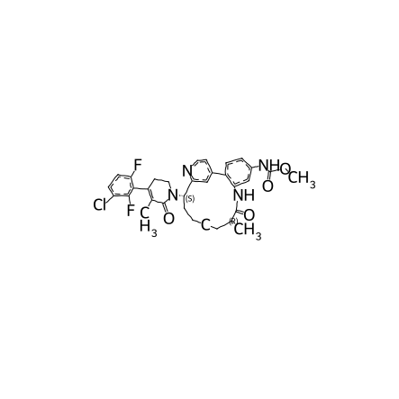 COC(=O)Nc1ccc2c(c1)NC(=O)[C@H](C)CCCC[C@H](N1CCC(c3c(F)ccc(Cl)c3F)=C(C)C1=O)c1cc-2ccn1